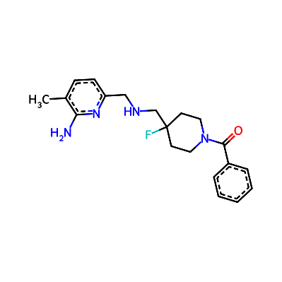 Cc1ccc(CNCC2(F)CCN(C(=O)c3ccccc3)CC2)nc1N